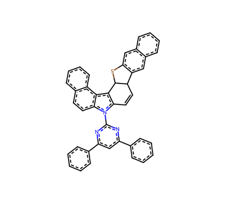 C1=CC2c3cc4ccccc4cc3SC2c2c1n(-c1nc(-c3ccccc3)cc(-c3ccccc3)n1)c1ccc3ccccc3c21